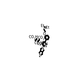 CCN(CC)CCOc1cccc(-c2ccc(N3CC4CN(C)CC4C3)nn2)c1.O=C(O)/C=C/C(=O)O.O=C(O)/C=C/C(=O)O